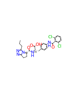 CCCc1nnc2n1[C@H](C(=O)N[C@@H](Cc1ccc(NC(=O)c3c(Cl)cccc3Cl)cc1)C(=O)O)CC2